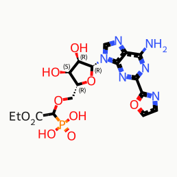 CCOC(=O)C(OC[C@H]1O[C@@H](n2cnc3c(N)nc(-c4ncco4)nc32)[C@H](O)[C@@H]1O)P(=O)(O)O